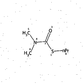 CCCSC(=O)N(C)C